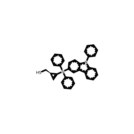 SC[C@@H]1C=C1[Si](c1ccccc1)(c1ccccc1)c1ccc2c(c1)c1ccccc1n2-c1ccccc1